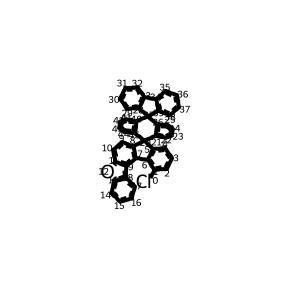 Clc1cccc2c1-c1c(ccc3oc4ccccc4c13)C21c2ccccc2C2(c3ccccc3-c3ccccc32)c2ccccc21